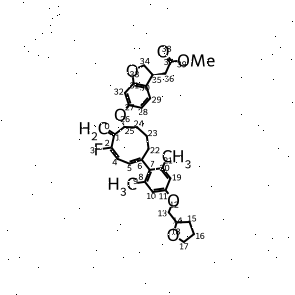 C=C1/C(F)=C\C=C(\c2c(C)cc(OCC3CCCO3)cc2C)CCC[C@H]1Oc1ccc2c(c1)OC[C@H]2CC(=O)OC